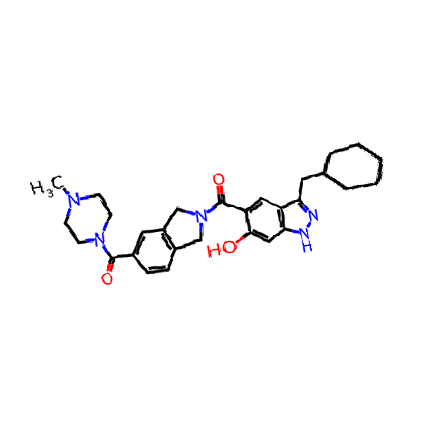 CN1CCN(C(=O)c2ccc3c(c2)CN(C(=O)c2cc4c(CC5CCCCC5)n[nH]c4cc2O)C3)CC1